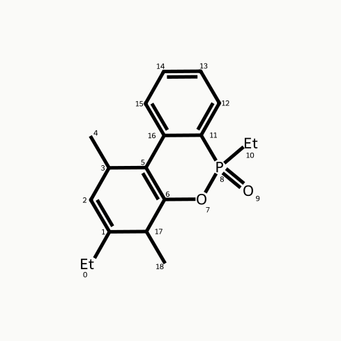 CCC1=CC(C)C2=C(OP(=O)(CC)c3ccccc32)C1C